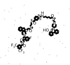 CN(CCN1CCC(N(C(=O)O)c2ccccc2-c2ccccc2)CC1)C(=O)CCCCCNc1nc2ccc(C(=O)N(C)CCCN(C)C(=O)CO[C@H]3Cc4ccccc4C34CCN(CC[C@@]3(c5ccc(F)cc5)CN(C(=O)c5cc(C(F)(F)F)cc(C(F)(F)F)c5)CO3)CC4)cc2s1